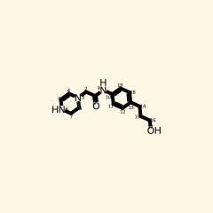 O=C(CN1C=CNCC1)Nc1ccc(CCCO)cc1